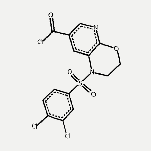 O=C(Cl)c1cnc2c(c1)N(S(=O)(=O)c1ccc(Cl)c(Cl)c1)CCO2